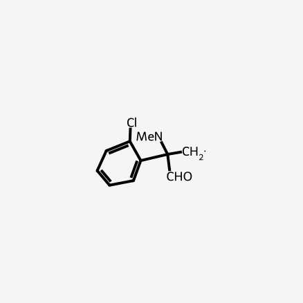 [CH2]C(C=O)(NC)c1ccccc1Cl